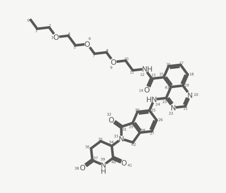 CCCOCCOCCOCCNC(=O)c1cccc2ncnc(Nc3ccc4c(c3)C(=O)N(C3CCC(=O)NC3=O)C4)c12